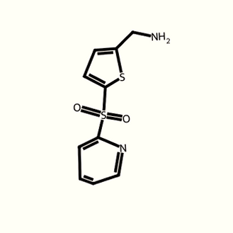 NCc1ccc(S(=O)(=O)c2ccccn2)s1